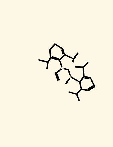 C=CN(CN(C)C1C(C(C)C)=CC=CC1C(C)C)C1=C(C(C)C)CCC=C1C(C)C